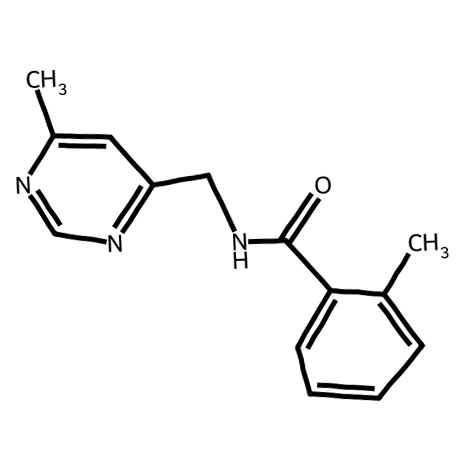 Cc1cc(CNC(=O)c2ccccc2C)ncn1